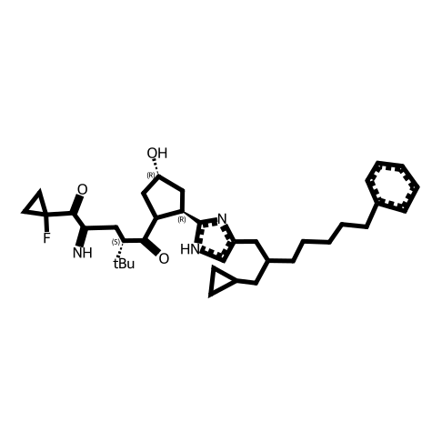 CC(C)(C)[C@H](CC(=N)C(=O)C1(F)CC1)C(=O)C1C[C@H](O)C[C@H]1c1nc(CC(CCCCCc2ccccc2)CC2CC2)c[nH]1